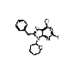 Clc1nc(I)nc2c1nc(Cc1ccccc1)n2C1CCCCO1